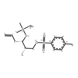 C=CC[C@H](O[Si](C)(C)C(C)(C)C)[C@@H](C)COS(=O)(=O)c1ccc(C)cc1